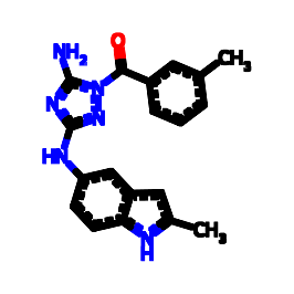 Cc1cccc(C(=O)n2nc(Nc3ccc4[nH]c(C)cc4c3)nc2N)c1